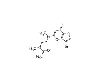 CN(CCN(C)[S+](C)[O-])c1cc(=O)c2occ(Br)c2o1